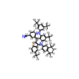 CC(C)(C)c1cc(N2c3ccc(C#N)cc3B3c4sc5ccc(C(C)(C)C)cc5c4N(c4ccc5c(c4)C(C)(C)CCC5(C)C)c4cc(C(C)(C)C)cc2c43)cc(C(C)(C)C)c1